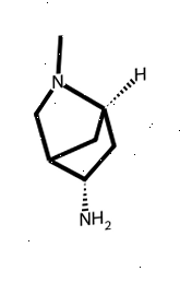 CN1CC2C[C@@H]1C[C@@H]2N